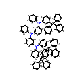 c1ccc(N(c2cccc(N(c3ccccc3)c3ccc4c(c3)C3(c5ccccc5-c5ccccc53)c3ccccc3-4)c2)c2cccc(N(c3ccc4c(c3)C3(c5ccccc5-c5ccccc53)c3ccccc3-4)c3cccc4c3-c3ccccc3C4(c3ccccc3)c3ccccc3)c2)cc1